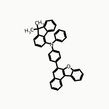 CC1(C)c2ccccc2-c2c(N(c3ccccc3)c3ccc(-c4cc5ccccc5c5c4oc4ccccc45)cc3)cccc21